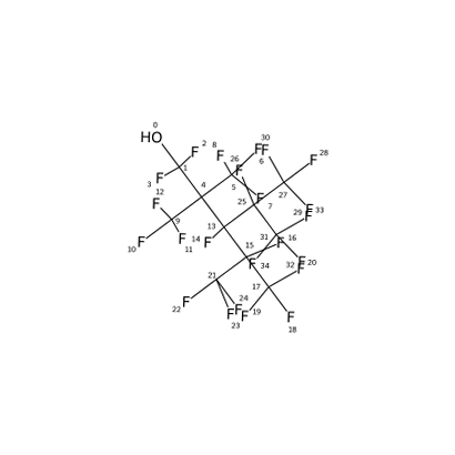 OC(F)(F)C(C(F)(F)F)(C(F)(F)F)C(F)(C(F)(C(F)(F)F)C(F)(F)F)C(F)(C(F)(F)F)C(F)(F)F